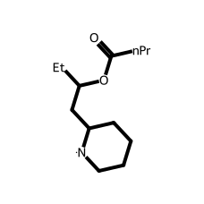 CCCC(=O)OC(CC)CC1CCCC[N]1